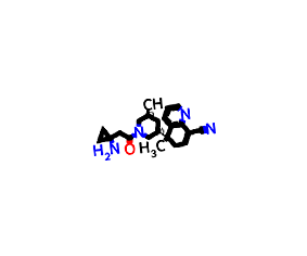 C[C@H]1C[C@H](C2(C)CC=C(C#N)c3ncccc32)CN(C(=O)CC2(N)CC2)C1